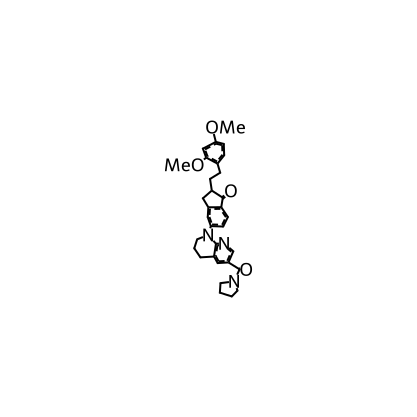 COc1ccc(CCC2Cc3cc(N4CCCc5cc(C(=O)N6CCCC6)cnc54)ccc3C2=O)c(OC)c1